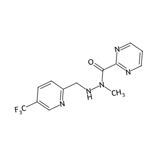 CN(NCc1ccc(C(F)(F)F)cn1)C(=O)c1ncccn1